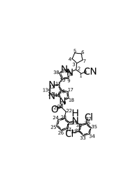 N#CCC(C1CCCC1)n1cc(-c2ncnc3c2ccn3C(=O)Cc2ccccc2Nc2c(Cl)cccc2Cl)cn1